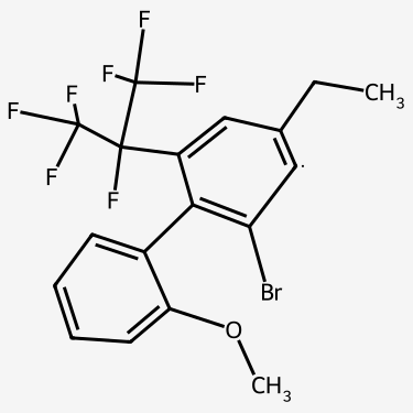 CCc1[c]c(Br)c(-c2ccccc2OC)c(C(F)(C(F)(F)F)C(F)(F)F)c1